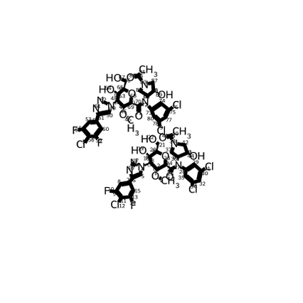 CO[C@@H]1[C@@H](n2cc(-c3cc(F)c(Cl)c(F)c3)nn2)[C@@H](O)[C@@H](CO)O[C@H]1C(=O)N(c1cc(Cl)cc(Cl)c1)[C@@H]1CN(C(C)=O)C[C@H]1O.CO[C@@H]1[C@@H](n2cc(-c3cc(F)c(Cl)c(F)c3)nn2)[C@@H](O)[C@@H](CO)O[C@H]1C(=O)N(c1cc(Cl)cc(Cl)c1)[C@H]1CN(C(C)=O)C[C@@H]1O